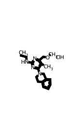 CCCNc1nc(COC)c(C)c(N2CCc3ccccc3C2)n1.Cl